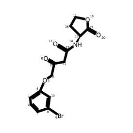 O=C(COc1cccc(Br)c1)CC(=O)N[C@H]1CCOC1=O